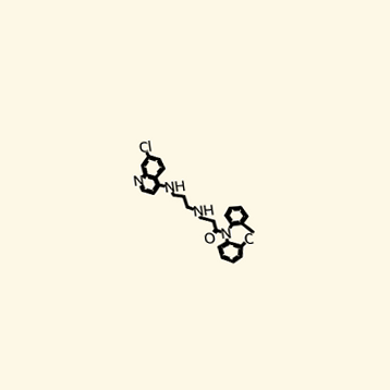 O=C(CCNCCCNc1ccnc2cc(Cl)ccc12)N1c2ccccc2CCc2ccccc21